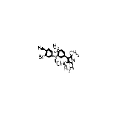 CCN(c1ccc(C#N)c(Br)c1)c1cc(-c2c(C)n[nH]c2C)ccc1C